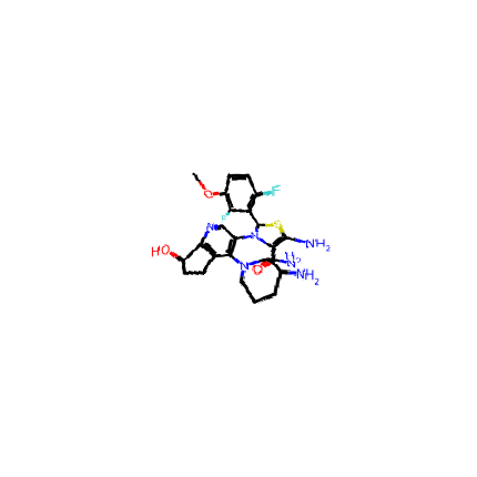 COc1ccc(F)c(C2SC(N)=C(C(N)=O)N2c2cnc3c(c2N2CCCC(N)C2)CCC3O)c1F